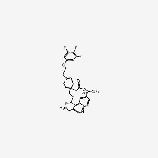 COc1ccc2ncc(CN)c(C(F)CCC3(CC(=O)O)CCN(CCOc4cc(F)c(F)c(F)c4)CC3)c2c1